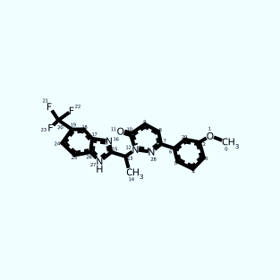 COc1cccc(-c2ccc(=O)n(C(C)c3nc4cc(C(F)(F)F)ccc4[nH]3)n2)c1